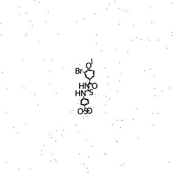 CCOc1ccc(C(=O)NC(=S)Nc2ccc(S(C)(=O)=O)cc2)cc1Br